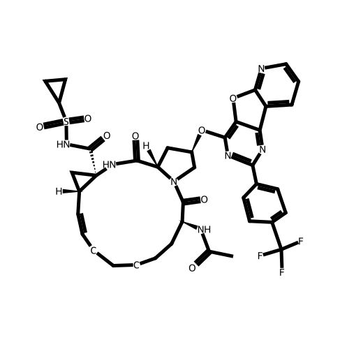 CC(=O)N[C@H]1CCCCC/C=C\[C@@H]2C[C@@]2(C(=O)NS(=O)(=O)C2CC2)NC(=O)[C@@H]2C[C@@H](Oc3nc(-c4ccc(C(F)(F)F)cc4)nc4c3oc3ncccc34)CN2C1=O